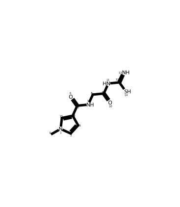 Cn1ccc(C(=O)NCC(=O)NC(=N)S)c1